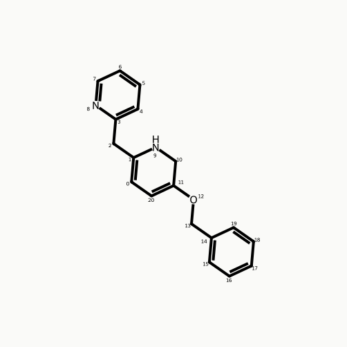 C1=C(Cc2ccccn2)NCC(OCc2ccccc2)=C1